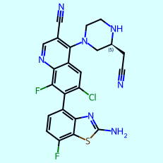 N#CC[C@H]1CN(c2c(C#N)cnc3c(F)c(-c4ccc(F)c5sc(N)nc45)c(Cl)cc23)CCN1